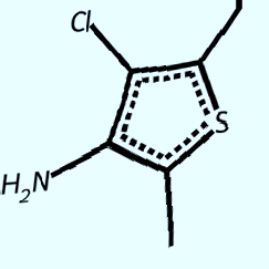 Cc1sc(C)c(Cl)c1N